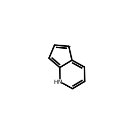 [c]1ccc2[nH]cccc1-2